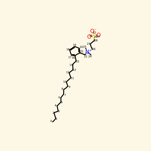 CCCCCCCCCCCCCCCCc1ccccc1C[N+](C)(C)CCCS(=O)(=O)[O-]